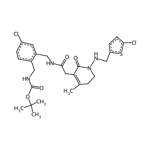 CC1=C(CC(=O)NCc2cc(Cl)ccc2CNC(=O)OC(C)(C)C)C(=O)N(NCc2ccc(Cl)s2)CC1